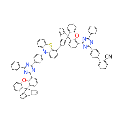 N#Cc1ccccc1-c1ccc(-c2nc(-c3ccccc3)nc(-c3cccc4c3Oc3ccccc3C43c4ccccc4-c4cc(-c5cccc6c5Sc5ccccc5N6c5ccc(-c6nc(-c7ccccc7)nc(-c7cccc8c7Oc7ccccc7C87c8ccccc8-c8ccccc87)n6)cc5)ccc43)n2)cc1